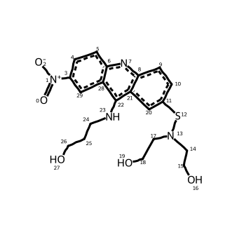 O=[N+]([O-])c1ccc2nc3ccc(SN(CCO)CCO)cc3c(NCCCO)c2c1